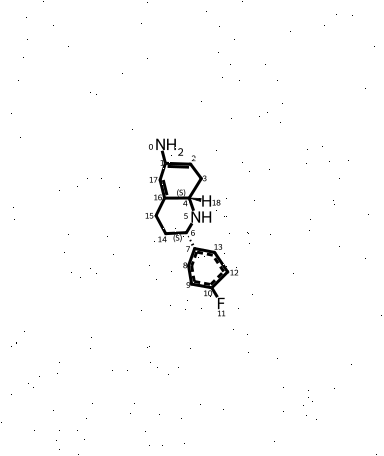 NC1=CC[C@@H]2N[C@H](c3ccc(F)cc3)CCC2=C1